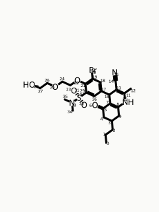 CCCC1CC(=O)C2=C(C1)NC(C)=C(C#N)C2c1cc(Br)c(OCCOCCO)c(S(=O)(=O)N(C)C)c1